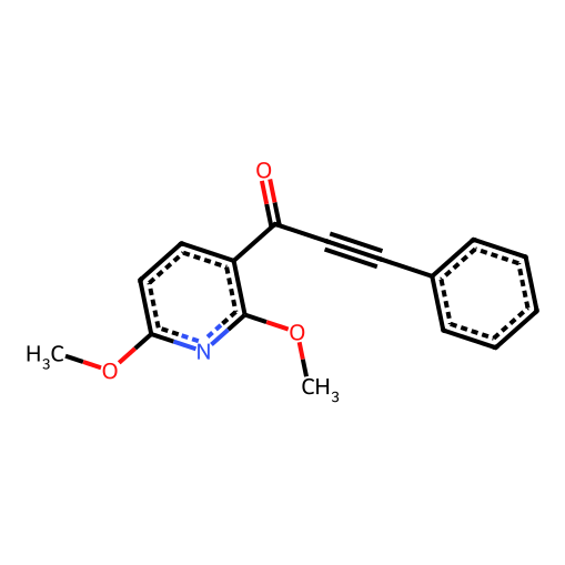 COc1ccc(C(=O)C#Cc2ccccc2)c(OC)n1